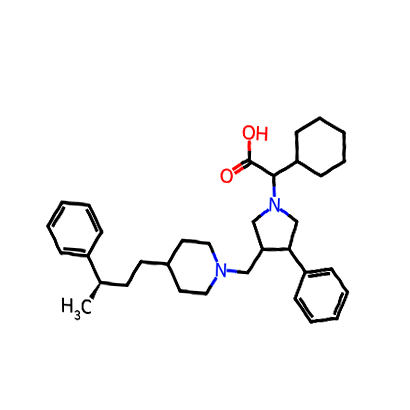 C[C@H](CCC1CCN(CC2CN(C(C(=O)O)C3CCCCC3)CC2c2ccccc2)CC1)c1ccccc1